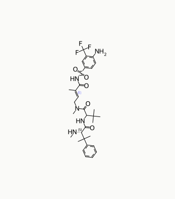 CN[C@H](C(=O)NC(C(=O)N(C)C/C=C(\C)C(=O)NS(=O)(=O)c1ccc(N)c(C(F)(F)F)c1)C(C)(C)C)C(C)(C)c1ccccc1